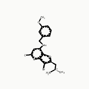 COc1cccc(CNc2cc(Cl)nc3c(Br)c(C[C@H](C)N)oc23)c1